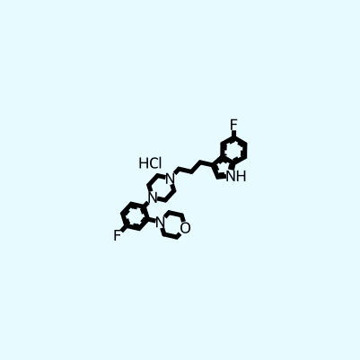 Cl.Fc1ccc(N2CCN(CCCc3c[nH]c4ccc(F)cc34)CC2)c(N2CCOCC2)c1